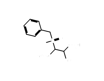 CCCCCC(C(CCC)C(=O)O)P(=O)(O)Cc1ccccc1